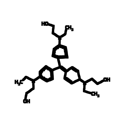 CCN(CCO)c1ccc(C(=C2C=CC(N(CC)CCO)C=C2)c2ccc(N(CC)CCO)cc2)cc1